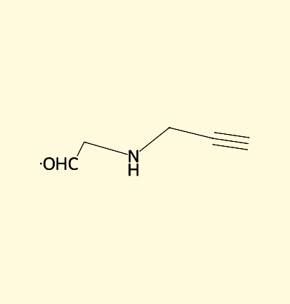 C#CCNC[C]=O